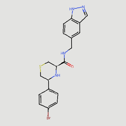 O=C(NCc1ccc2[nH]ncc2c1)[C@@H]1[CH]SCC(c2ccc(Br)cc2)N1